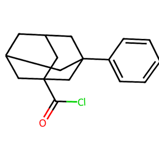 O=C(Cl)C12CC3CC(C1)CC(c1ccccc1)(C3)C2